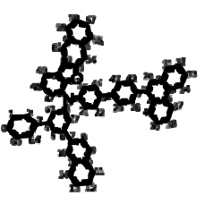 c1ccc(-c2cc(-c3ccc4ccccc4c3)cc(N(c3ccc(-c4ccc(-c5cc6ccccc6c6ccccc56)cc4)cc3)c3cccc4c3oc3cc5ccccc5cc34)c2)cc1